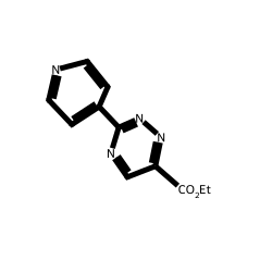 CCOC(=O)c1cnc(-c2ccncc2)nn1